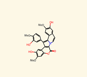 COc1ccc(-c2c3c4cc(O)c(OC)cc4oc(=O)c3n3ccc4cc(O)c(OC)cc4c23)cc1O